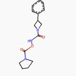 O=C(NOC(=O)N1CCCC1)N1CC(c2ccccc2)C1